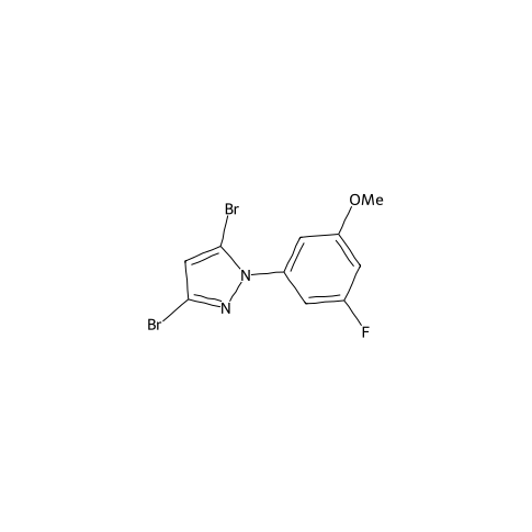 COc1cc(F)cc(-n2nc(Br)cc2Br)c1